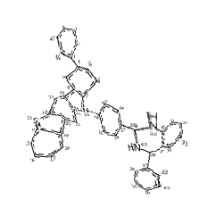 c1ccc(-c2ccc3c(c2)c2cc4sc5ccccc5c4cc2n3-c2ccc(C3Nc4ccccc4C(c4ccccc4)N3)cc2)cc1